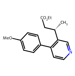 CCOC(=O)C[C@H](C)c1cnccc1-c1ccc(OC)cc1